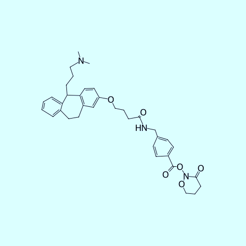 CN(C)CCCC1c2ccccc2CCc2cc(OCCCC(=O)NCc3ccc(C(=O)ON4OCCCC4=O)cc3)ccc21